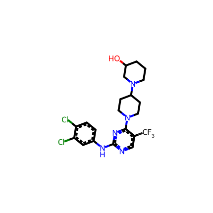 OC1CCCN(C2CCN(c3nc(Nc4ccc(Cl)c(Cl)c4)ncc3C(F)(F)F)CC2)C1